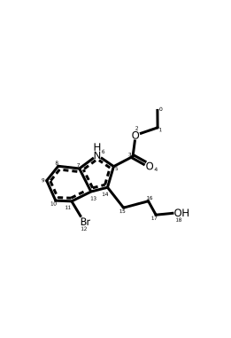 CCOC(=O)c1[nH]c2cccc(Br)c2c1CCCO